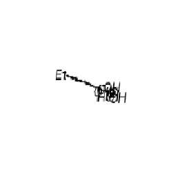 CC/C=C/C=C/C=C/C=C/CCCCCCCC(=O)OCC(O)COP(=O)(O)O